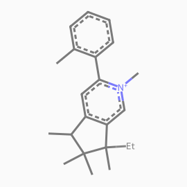 CCC1(C)c2c[n+](C)c(-c3ccccc3C)cc2C(C)C1(C)C